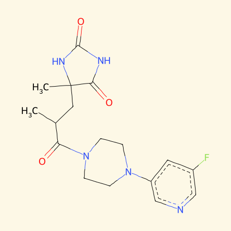 CC(CC1(C)NC(=O)NC1=O)C(=O)N1CCN(c2cncc(F)c2)CC1